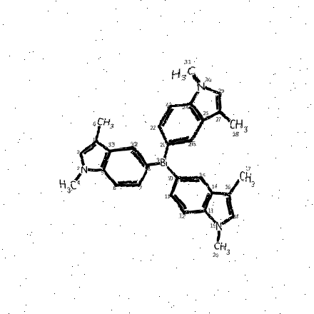 Cc1cn(C)c2cc[c]([Bi]([c]3ccc4c(c3)c(C)cn4C)[c]3ccc4c(c3)c(C)cn4C)cc12